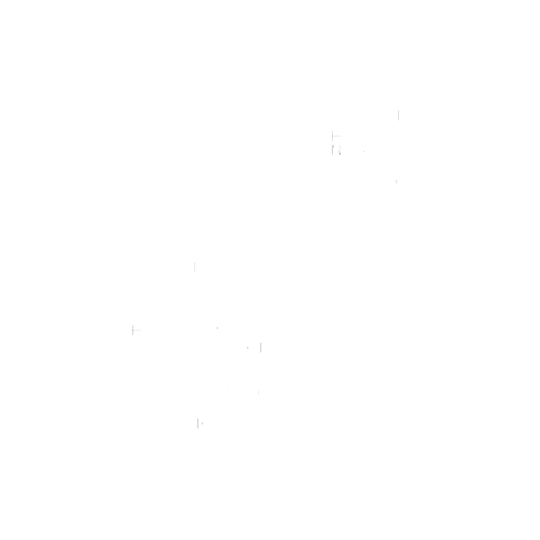 CC(=O)Nc1ccc(CCC(O)(CC(=O)O)C(C)C)cc1